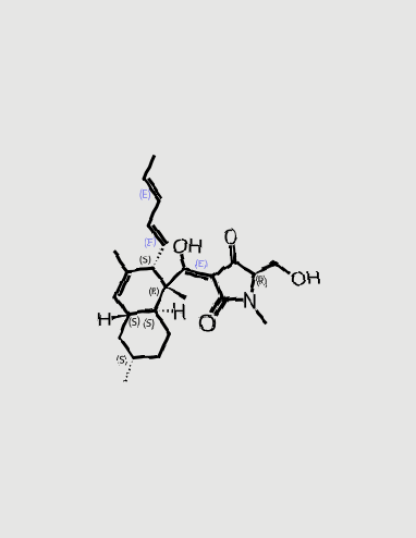 C/C=C/C=C/[C@H]1C(C)=C[C@H]2C[C@@H](C)CC[C@@H]2[C@@]1(C)/C(O)=C1/C(=O)[C@@H](CO)N(C)C1=O